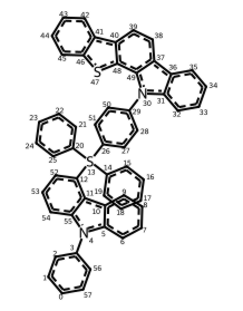 c1ccc(-n2c3ccccc3c3c(S(c4ccccc4)(c4ccccc4)c4ccc(-n5c6ccccc6c6ccc7c8ccccc8sc7c65)cc4)cccc32)cc1